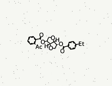 CCc1ccc(C(=O)O[C@@H]2CO[C@H]3[C@@H]2OC[C@@H]3OC(=O)c2ccccc2C(C)=O)cc1